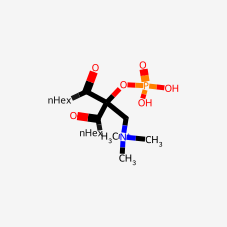 CCCCCCC(=O)C(C[N+](C)(C)C)(OP(=O)(O)O)C(=O)CCCCCC